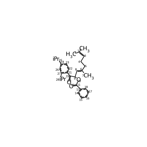 CC(C)=CCC/C(C)=C/C(OC(=O)c1ccccc1)C(=O)c1ccc(C(C)C)cc1C(C)C